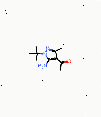 CC(=O)c1c(C)nn(C(C)(C)C)c1N